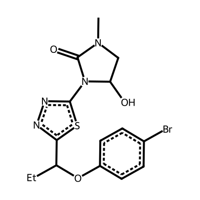 CCC(Oc1ccc(Br)cc1)c1nnc(N2C(=O)N(C)CC2O)s1